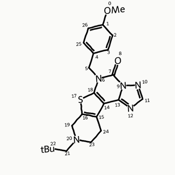 COc1ccc(Cn2c(=O)n3ncnc3c3c4c(sc32)CN(CC(C)(C)C)CC4)cc1